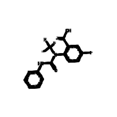 O=C(O)c1cc(F)ccc1N(C(=O)Nc1ccccc1)C(F)(F)F